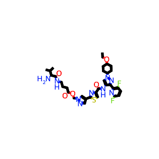 CCOC1CCC(n2cc(NC(=O)c3csc(-c4cnn(COC(=O)CCCNC(=O)[C@H](N)C(C)C)c4)n3)c(-c3nc(F)ccc3F)n2)CC1